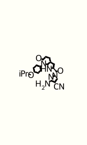 CC(C)Oc1ccc(-n2c(=O)ccc3cc(C(=O)n4cc(C#N)c(N)n4)[nH]c32)cc1